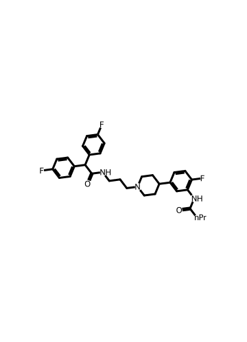 CCCC(=O)Nc1cc(C2CCN(CCCNC(=O)C(c3ccc(F)cc3)c3ccc(F)cc3)CC2)ccc1F